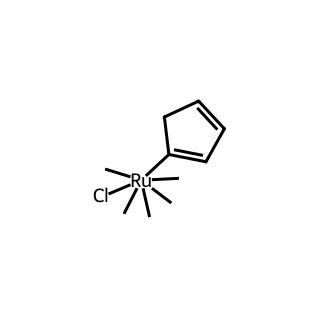 [CH3][Ru]([CH3])([CH3])([CH3])([CH3])([Cl])[C]1=CC=CC1